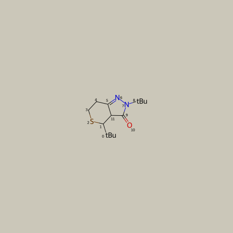 CC(C)(C)C1SCCC2=NN(C(C)(C)C)C(=O)C21